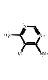 CCc1c(C)ncnc1NC